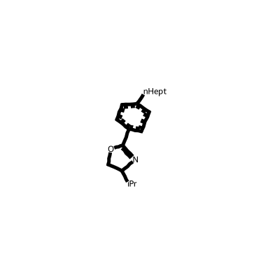 CCCCCCCc1ccc(C2=NC(C(C)C)CO2)cc1